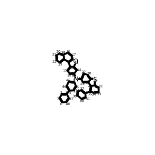 c1ccc(-c2ccc(N(c3ccc4c(c3)oc3ccc5ccccc5c34)c3ccc4sc5cccc(-c6ccccc6)c5c4c3)cc2)cc1